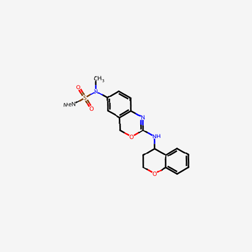 CNS(=O)(=O)N(C)c1ccc2c(c1)COC(NC1CCOc3ccccc31)=N2